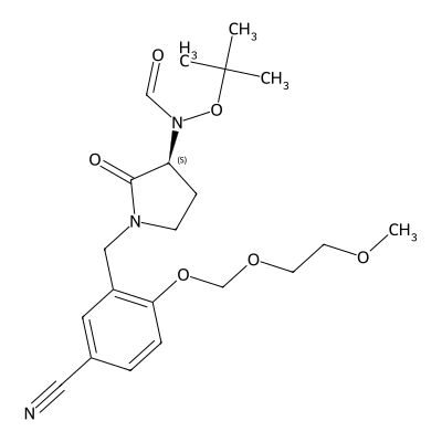 COCCOCOc1ccc(C#N)cc1CN1CC[C@H](N(C=O)OC(C)(C)C)C1=O